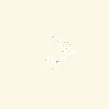 CCCC(CCC=NC1(C(=O)O)C=CC=CC1)C(=O)c1ccccc1Sc1ccccc1